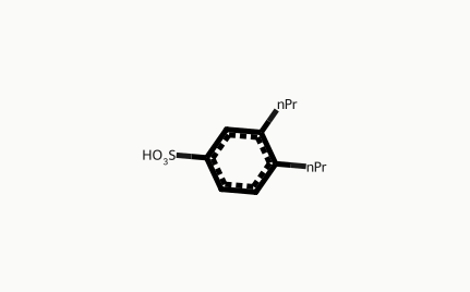 CCCc1ccc(S(=O)(=O)O)cc1CCC